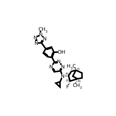 Cn1nnc(-c2ccc(-c3ncc(N(C4CC4)[C@@H]4C[C@@]5(C)CC[C@](C)(C5)[C@@H]4F)nn3)c(O)c2)n1